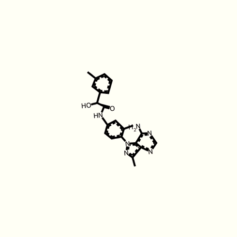 Cc1cccc(C(O)C(=O)Nc2ccc(-n3nc(C)c4ncnc(N)c43)c(C)c2)c1